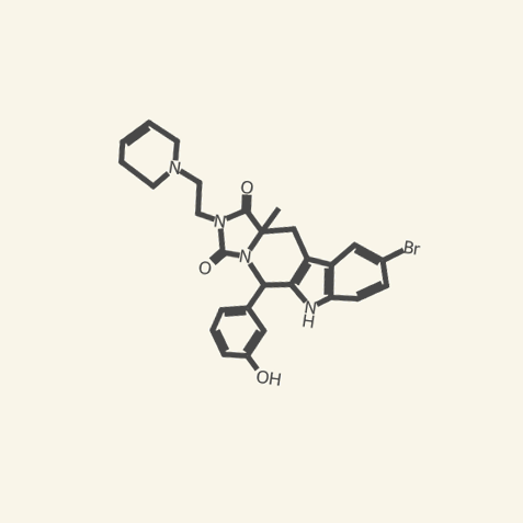 CC12Cc3c([nH]c4ccc(Br)cc34)C(c3cccc(O)c3)N1C(=O)N(CCN1CC=CCC1)C2=O